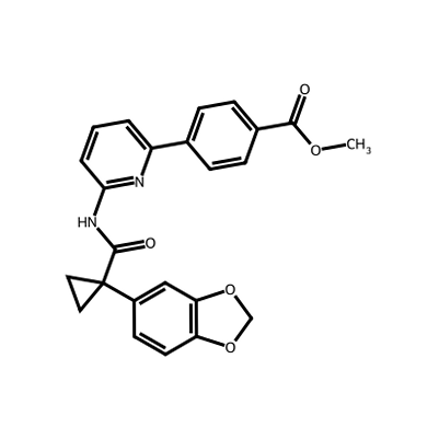 COC(=O)c1ccc(-c2cccc(NC(=O)C3(c4ccc5c(c4)OCO5)CC3)n2)cc1